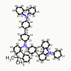 CC1(C)c2ccccc2-c2c(N(c3ccc(-c4ccc(-n5c6ccccc6c6ccccc65)cc4)cc3)c3ccc(-c4cccc5c4c4ccccc4n5-c4ccccc4)cc3)cccc21